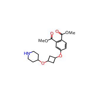 COC(=O)c1ccc(OC2CC(OC3CCNCC3)C2)cc1C(=O)OC